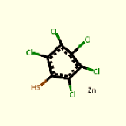 Sc1c(Cl)c(Cl)c(Cl)c(Cl)c1Cl.[Zn]